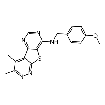 COc1ccc(CNc2ncnc3c2sc2nnc(C)c(C)c23)cc1